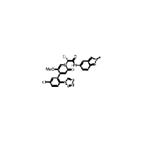 CC[C@@H](C(=O)Nc1ccc2nn(C)cc2c1)n1cc(OC)c(-c2cc(Cl)ccc2-n2cnnn2)cc1=O